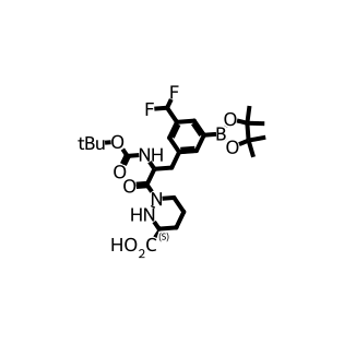 CC(C)(C)OC(=O)NC(Cc1cc(B2OC(C)(C)C(C)(C)O2)cc(C(F)F)c1)C(=O)N1CCC[C@@H](C(=O)O)N1